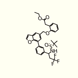 CCOC(=O)Cc1ccccc1OCc1cc(-c2cccc(C(CC(F)(F)F)N[S@+]([O-])C(C)(C)C)c2)c2occc2c1